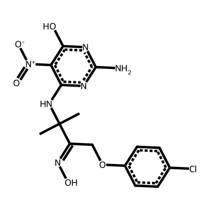 CC(C)(Nc1nc(N)nc(O)c1[N+](=O)[O-])C(COc1ccc(Cl)cc1)=NO